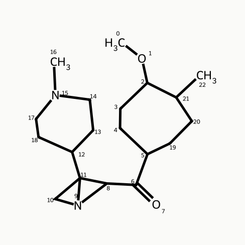 COC1CCC(C(=O)C2N3CC23C2CCN(C)CC2)CCC1C